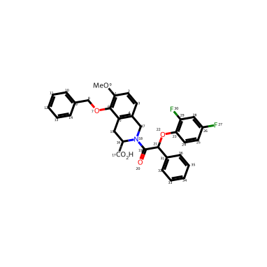 COc1ccc2c(c1OCc1ccccc1)CC(C(=O)O)N(C(=O)C(Oc1ccc(F)cc1F)c1ccccc1)C2